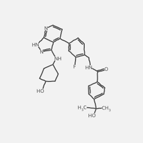 CC(C)(O)c1ccc(C(=O)NCc2ccc(-c3ccnc4[nH]nc(NC5CCC(O)CC5)c34)cc2F)cc1